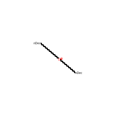 CCCCCCCCCCCCCCCCCCCCCCCCCCCCCOC(=O)CCCCCCCCCCCCCCCCCCCCCCCCC